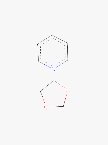 C1COCO1.c1ccncc1